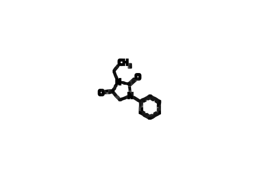 CCN1C(=O)CN(c2ccccc2)C1=O